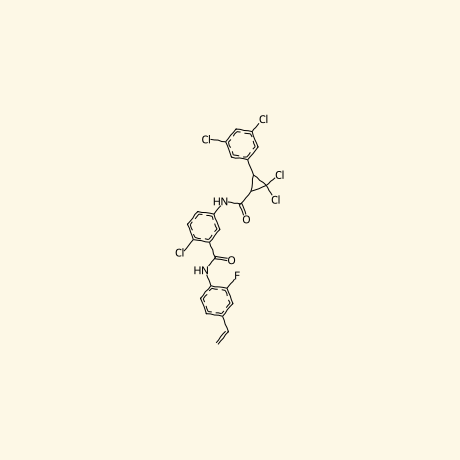 C=Cc1ccc(NC(=O)c2cc(NC(=O)C3C(c4cc(Cl)cc(Cl)c4)C3(Cl)Cl)ccc2Cl)c(F)c1